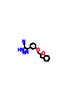 N#Cc1[nH]nnc1C1=CC(OCc2cc3ccccc3o2)CC=C1